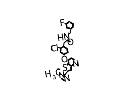 Cn1ccnc1-c1cc2nccc(Oc3ccc(CC(=O)NCc4cccc(F)c4)c(Cl)c3)c2s1